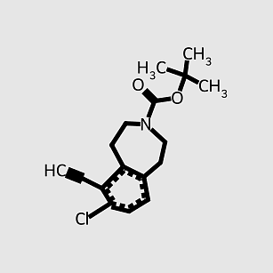 C#Cc1c(Cl)ccc2c1CCN(C(=O)OC(C)(C)C)CC2